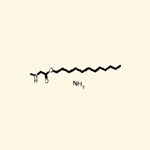 CCCCCCCCCCCCOC(=O)CNC.N